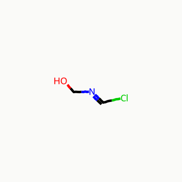 OCN=CCl